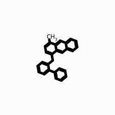 Cc1ccc(Cc2ccccc2-c2ccccc2)c2cc3ccccc3cc12